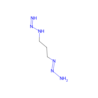 N=NNCCCN=NN